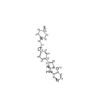 COc1ccncc1NC1=NC(c2ccc(OCCN3CCC(F)CC3)cc2)CS1